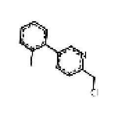 Cc1ccccc1-c1ccc(CCl)nc1